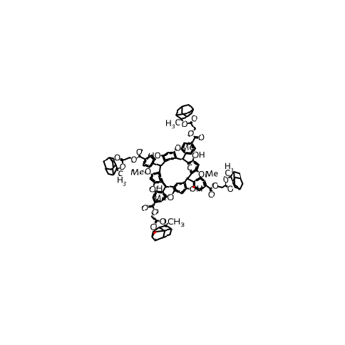 COc1cc(O)c2cc1C(c1ccc(C(=O)OCC(=O)OC3(C)C4CC5CC(C4)CC3C5)cc1)c1cc(c(OC)cc1O)C(c1ccc(C(=O)OCC(=O)OC3(C)C4CC5CC(C4)CC3C5)cc1)c1cc(c(OC)cc1O)C(c1ccc(C(=O)OCC(=O)OC3(C)C4CC5CC(C4)CC3C5)cc1)c1cc(c(OC)cc1O)C2c1ccc(C(=O)OCC(=O)OC2(C)C3CC4CC(C3)CC2C4)cc1